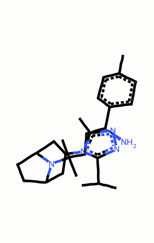 Cc1ccc([C@@H](N)CCC(C)(C)N2C3CCC2CC(n2c(C)nnc2C(C)C)C3)cc1